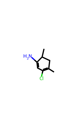 CC1=C(Cl)C=C(N)C(C)C1